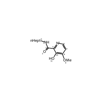 CCCCCCCNC(=O)c1nccc(OC)c1O